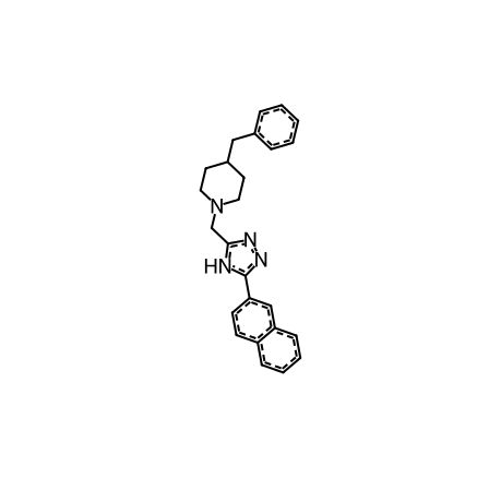 c1ccc(CC2CCN(Cc3nnc(-c4ccc5ccccc5c4)[nH]3)CC2)cc1